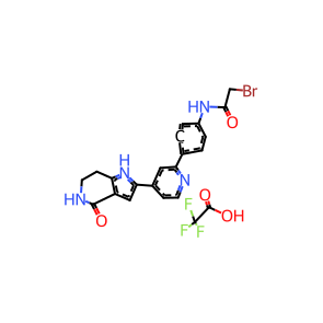 O=C(CBr)Nc1ccc(-c2cc(-c3cc4c([nH]3)CCNC4=O)ccn2)cc1.O=C(O)C(F)(F)F